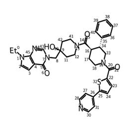 CCn1ccc2c(=O)n(CC3(O)CCN(C(=O)[C@@H]4CCN(C(=O)c5ccc(-c6ccncc6)s5)C[C@H]4c4ccccc4)CC3)cnc21